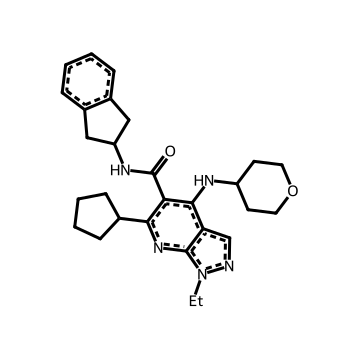 CCn1ncc2c(NC3CCOCC3)c(C(=O)NC3Cc4ccccc4C3)c(C3CCCC3)nc21